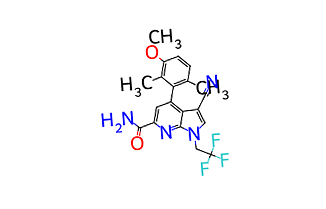 COc1ccc(C)c(-c2cc(C(N)=O)nc3c2c(C#N)cn3CC(F)(F)F)c1C